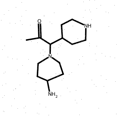 CC(=O)C(C1CCNCC1)N1CCC(N)CC1